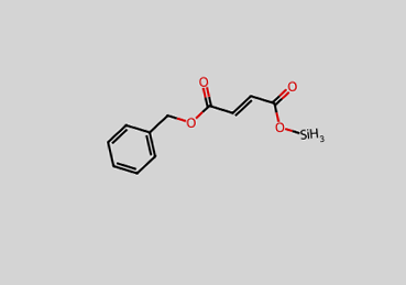 O=C(/C=C/C(=O)OCc1ccccc1)O[SiH3]